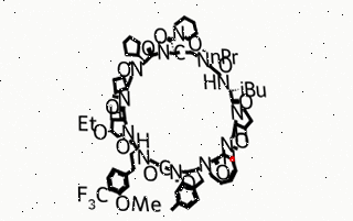 CCC[C@H]1C(=O)N[C@@H]([C@@H](C)CC)C(=O)N2CCC[C@H]2C(=O)N(C)[C@H]2C/C=C\CCN(C2=O)[C@@H](Cc2ccc(C)cc2)C(=O)N(C)CC(=O)N[C@@H](CCc2ccc(C(F)(F)F)c(OC)c2)C(=O)N2C[C@H](OCC)C[C@H]2C(=O)N(C)C2(CCC2)C(=O)N(C)[C@@H](C2CCCC2)C(=O)N(C)[C@H](C(=O)N2CCCCC2)CC(=O)N1C